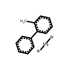 Cc1ccccc1-c1cc[c]cc1.[Br][Mg][Br]